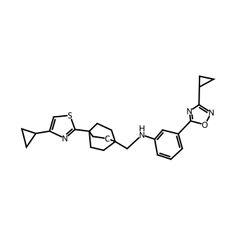 c1cc(NCC23CCC(c4nc(C5CC5)cs4)(CC2)CC3)cc(-c2nc(C3CC3)no2)c1